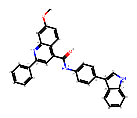 COc1ccc2c(C(=O)Nc3ccc(-c4c[nH]c5ccccc45)cc3)cc(-c3ccccc3)nc2c1